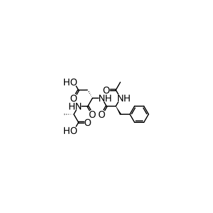 CC(=O)N[C@@H](Cc1ccccc1)C(=O)N[C@@H](CC(=O)O)C(=O)N[C@@H](C)C(=O)O